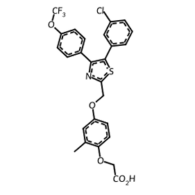 Cc1cc(OCc2nc(-c3ccc(OC(F)(F)F)cc3)c(-c3cccc(Cl)c3)s2)ccc1OCC(=O)O